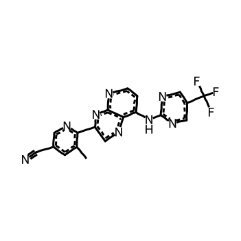 Cc1cc(C#N)cnc1-c1cnc2c(Nc3ncc(C(F)(F)F)cn3)ccnc2n1